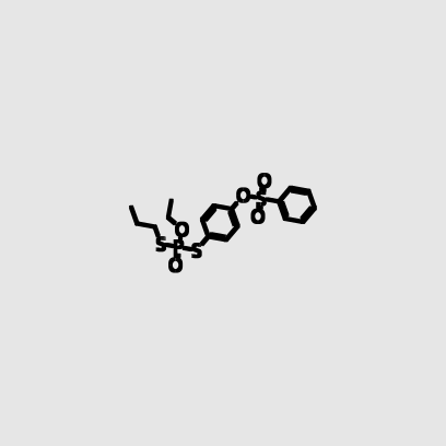 CCCSP(=O)(OCC)Sc1ccc(OS(=O)(=O)c2ccccc2)cc1